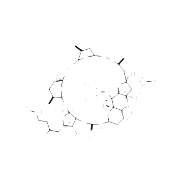 C=C1CCC2CC(=C)C(CC[C@H]3C[C@@H](C)C(=C)C(C[C@@H]4O[C@H](CC(C)CCPP)[C@H](C)C4CC(=O)CC4CC[C@@H]5O[C@@H]6C(O[C@H](C1)[C@@H]6OP(P)P)[C@@H](OP(P)P)[C@H]5O4)O3)O2